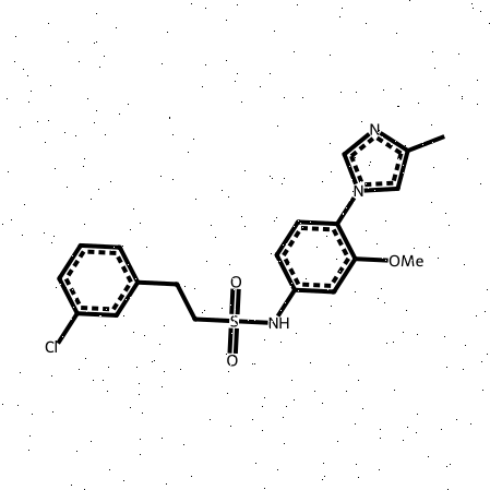 COc1cc(NS(=O)(=O)CCc2cccc(Cl)c2)ccc1-n1cnc(C)c1